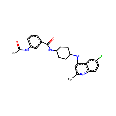 CC(C)C(=O)Nc1cccc(C(=O)NC2CCC(Nc3cc(C(F)(F)F)nc4ccc(Cl)cc34)CC2)c1